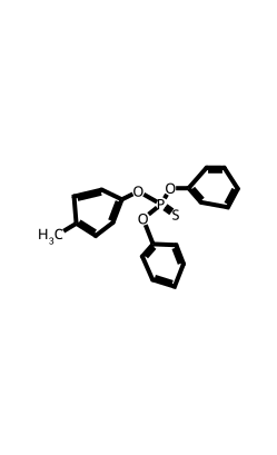 Cc1ccc(OP(=S)(Oc2ccccc2)Oc2ccccc2)cc1